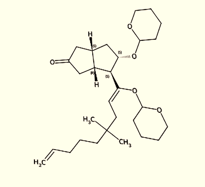 C=CCCCC(C)(C)CC=C(OC1CCCCO1)[C@H]1[C@@H]2CC(=O)C[C@@H]2C[C@@H]1OC1CCCCO1